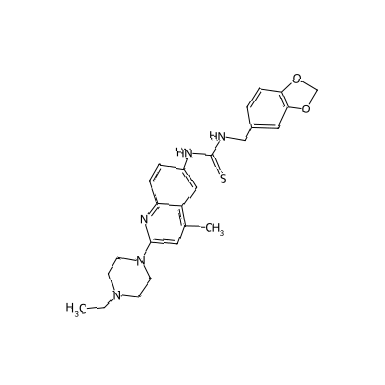 CCN1CCN(c2cc(C)c3cc(NC(=S)NCc4ccc5c(c4)OCO5)ccc3n2)CC1